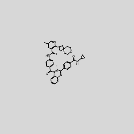 Cc1cnc(N2CC3(CCOCC3)C2)c(C(=O)Nc2ccc(C(=O)N3c4ccccc4N=C(c4ccc(C(=O)NC5CC5)cc4)[C@H]3C)cc2)c1